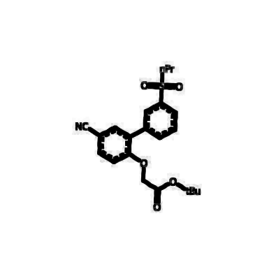 CCCS(=O)(=O)c1cccc(-c2cc(C#N)ccc2OCC(=O)OC(C)(C)C)c1